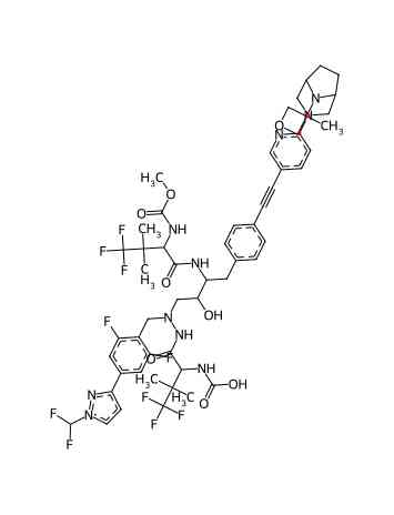 COC(=O)NC(C(=O)NC(Cc1ccc(C#Cc2ccc(N3CC4CCC(C3)N4C3(C)COC3)nc2)cc1)C(O)CN(Cc1c(F)cc(-c2ccn(C(F)F)n2)cc1F)NC(=O)C(NC(=O)O)C(C)(C)C(F)(F)F)C(C)(C)C(F)(F)F